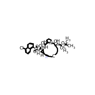 CC(C)(C)OC(=O)N[C@H]1CCCCC/C=C\[C@@H]2C[C@@]2(C(=O)NS(=O)(=O)c2cccc3c(Cl)cccc23)NC(=O)[C@@H]2CCCN2C1=O